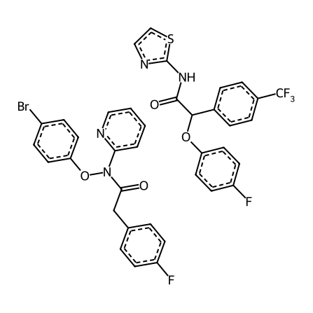 O=C(Cc1ccc(F)cc1)N(Oc1ccc(Br)cc1)c1ccccn1.O=C(Nc1nccs1)C(Oc1ccc(F)cc1)c1ccc(C(F)(F)F)cc1